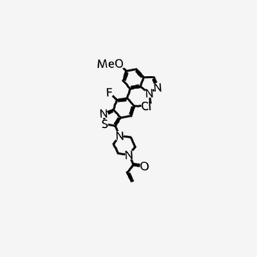 C=CC(=O)N1CCN(c2snc3c(F)c(-c4cc(OC)cc5cnn(C)c45)c(Cl)cc23)CC1